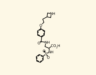 O=C(NCC(NS(=O)(=O)c1ccccc1)C(=O)O)c1ccc(OCCC2CNC2)cc1